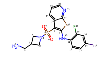 NCC1CN(S(=O)(=O)c2c(Nc3ccc(I)cc3F)sc3ncccc23)C1